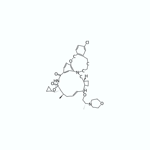 C[C@@H]1C/C=C/[C@H](OC[C@@H](C)N2CCOCC2)[C@@H]2CC[C@H]2CN2CCCCc3cc(Cl)ccc3COc3ccc(cc32)C(=O)NS(=O)(=O)[C@H]1CC1CC1